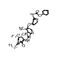 Cn1cc(C(F)(F)F)cc(Nc2nc3ncc(Oc4ccnc(NC(=O)Oc5ccccc5)c4)c(C#N)c3n2C)c1=O